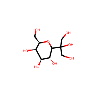 OC[C@H]1OC(C(O)(CO)CO)[C@H](O)[C@@H](O)[C@H]1O